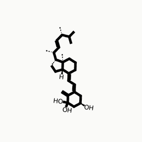 C=C1/C(=C\C=C2/CCC[C@]3(C)[C@@H]([C@H](C)/C=C/[C@H](C)C(C)C)CC[C@@H]23)C[C@@H](O)CC1(O)O